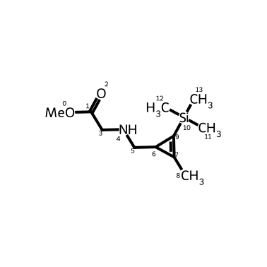 COC(=O)CNCC1C(C)=C1[Si](C)(C)C